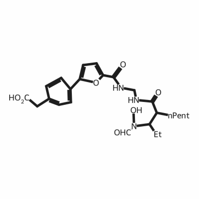 CCCCCC(C(=O)NCNC(=O)c1ccc(-c2ccc(CC(=O)O)cc2)o1)C(CC)N(O)C=O